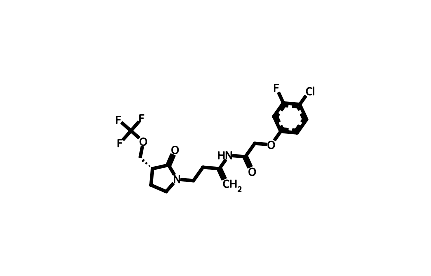 C=C(CCN1CC[C@H](COC(F)(F)F)C1=O)NC(=O)COc1ccc(Cl)c(F)c1